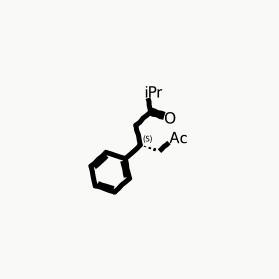 CC(=O)C[C@@H](CC(=O)C(C)C)c1ccccc1